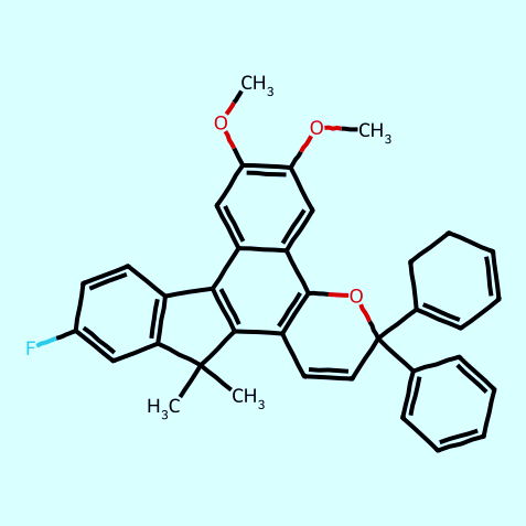 COc1cc2c3c(c4c(c2cc1OC)-c1ccc(F)cc1C4(C)C)C=CC(C1=CC=CCC1)(c1ccccc1)O3